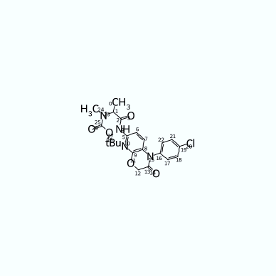 CC(C(=O)Nc1ccc2c(n1)OCC(=O)N2c1ccc(Cl)cc1)N(C)C(=O)OC(C)(C)C